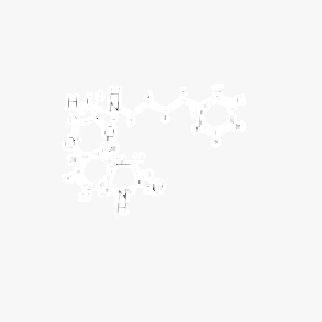 CC1(NCCCCc2ccccc2)COc2ccc3c(c2O1)CC(=O)N3